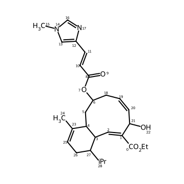 CCOC(=O)/C1=C\C2C(CC(OC(=O)C=Cc3cn(C)cn3)C/C=C\C1O)C(C)=CCC2C(C)C